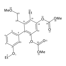 CCOc1cccc(-c2c(OC(=O)OC)cc(OC(=O)OC)c(CC)c2CCOC)c1